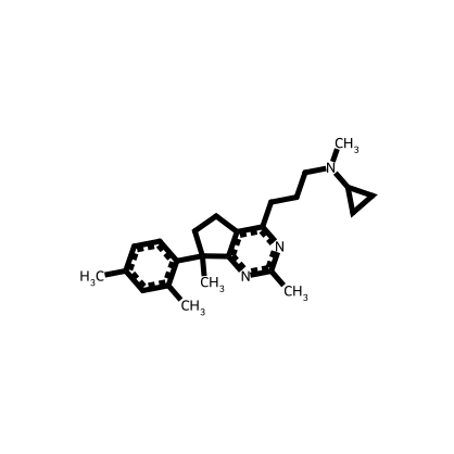 Cc1ccc(C2(C)CCc3c(CCCN(C)C4CC4)nc(C)nc32)c(C)c1